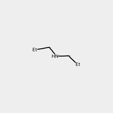 [CH2]C[CH]N[CH]C[CH2]